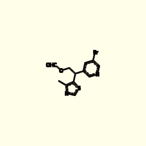 Cc1ncsc1C(COC=O)c1cncc(Br)c1